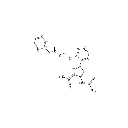 NC(=O)Nc1sc(-c2ccccc2OCCNCc2ccccn2)cc1C(N)=O